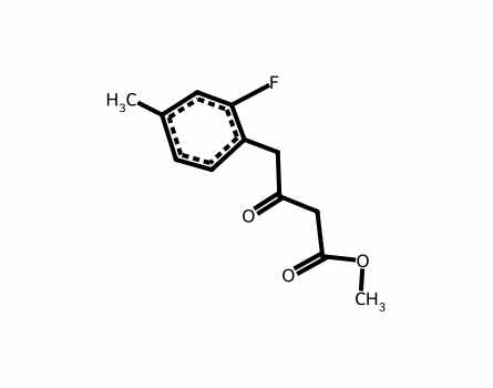 COC(=O)CC(=O)Cc1ccc(C)cc1F